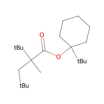 CC(C)(C)CC(C)(C(=O)OC1(C(C)(C)C)CCCCC1)C(C)(C)C